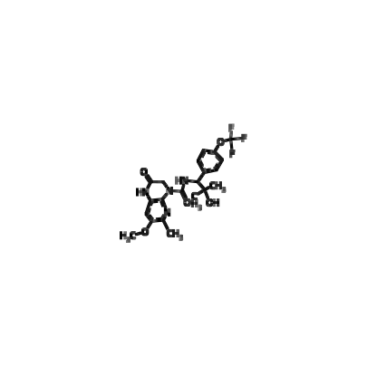 COc1cc2c(nc1C)N(C(=O)NC(c1ccc(OC(F)(F)F)cc1)C(C)(C)O)CC(=O)N2